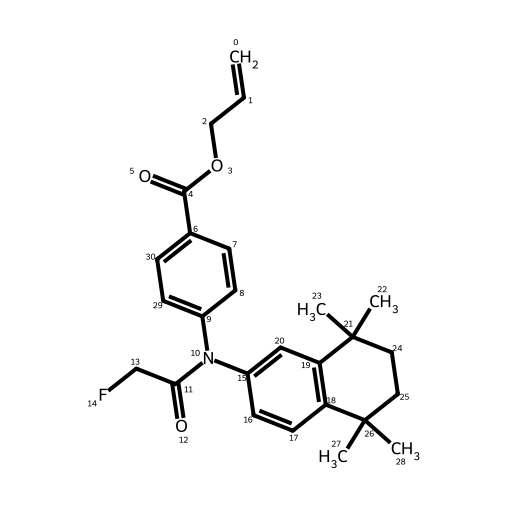 C=CCOC(=O)c1ccc(N(C(=O)CF)c2ccc3c(c2)C(C)(C)CCC3(C)C)cc1